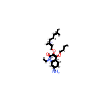 CCCCOc1c(OC/C=C(\C)CCC=C(C)C)c(=O)n(CC)c2cc(N)ccc12